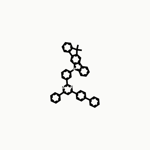 CC1(C)c2ccccc2-c2cc3c(cc21)c1ccccc1n3-c1cccc(-c2nc(-c3ccccc3)cc(-c3ccc(-c4ccccc4)cc3)n2)c1